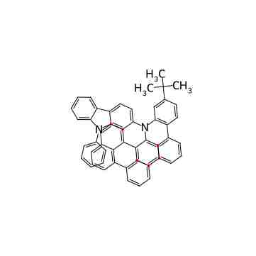 CC(C)(C)c1ccc(-c2ccccc2)c(N(c2ccc3c4ccccc4n(-c4ccccc4)c3c2)c2ccccc2-c2cccc3cccc(-c4ccccc4)c23)c1